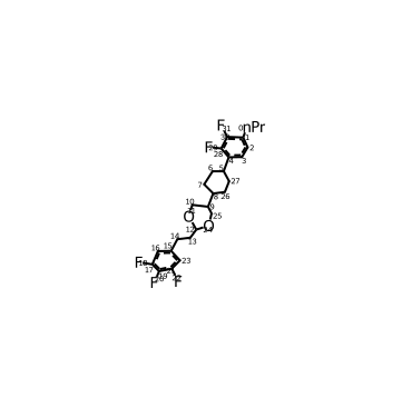 CCCc1ccc(C2CCC(C3COC(CCc4cc(F)c(F)c(F)c4)OC3)CC2)c(F)c1F